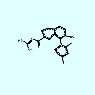 [C-]#[N+]c1ccc2ccc(C(=O)N=C(N)N)cc2c1-c1ccc(F)cc1F